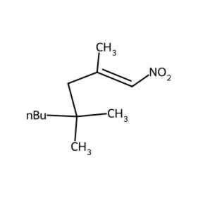 CCCCC(C)(C)CC(C)=C[N+](=O)[O-]